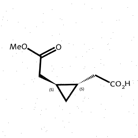 COC(=O)C[C@@H]1C[C@H]1CC(=O)O